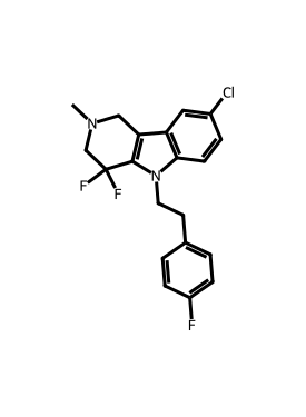 CN1Cc2c(n(CCc3ccc(F)cc3)c3ccc(Cl)cc23)C(F)(F)C1